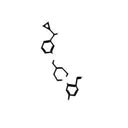 CC(c1cccc(OCC2CCN(c3cc(O)ccc3C=O)CC2)c1)C1CC1